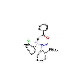 CC(=O)Nc1ccccc1N/C(=C\C(=O)c1ccccc1)c1ccccc1Cl